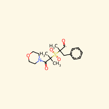 CC([C]=O)(Cc1ccccc1)S(=O)(=O)C(C)(C)C(=O)N1CCOCC1